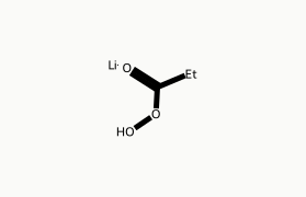 CCC(=O)OO.[Li]